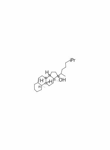 CC(C)CCCC(C)[C@@]1(O)CC[C@H]2[C@@H]3CC=C4CCCC[C@]4(C)[C@H]3CC[C@@]21C